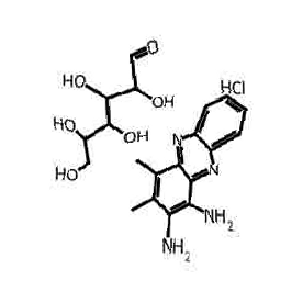 Cc1c(N)c(N)c2nc3ccccc3nc2c1C.Cl.O=CC(O)C(O)C(O)C(O)CO